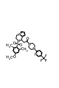 COc1cc(C)c(S(=O)(=O)N2CCn3cccc3C2CC(=O)N2CCN(c3ccc(C(F)(F)F)cn3)CC2)c(C)c1